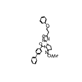 CON=C1CC[C@@H](c2noc(CCOc3ccccc3)n2)N1C(=O)c1ccc(-c2ccccc2)cc1